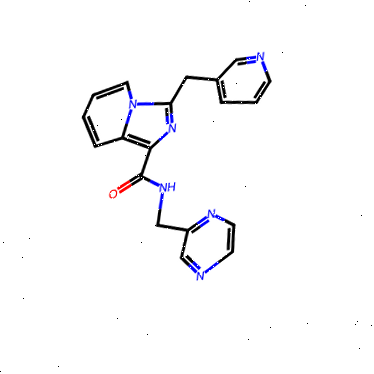 O=C(NCc1cnccn1)c1nc(Cc2cccnc2)n2ccccc12